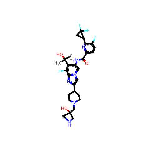 CC(C)(O)c1c(NC(=O)c2ccc(F)c(C3CC3(F)F)n2)cn2cc(C3CCN(CC4(O)CNC4)CC3)nc2c1F